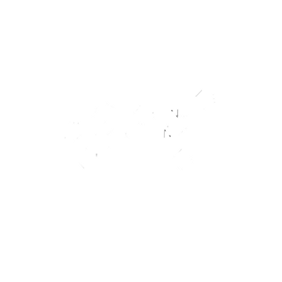 c1ccc(-c2cc(-c3ccccc3)nc(-c3cccc(-c4ccc5c(c4)C4(c6ccccc6-c6ccccc64)c4ccccc4-5)c3)n2)cc1